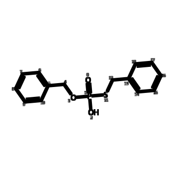 O=P(O)(OCc1ccccc1)SCc1ccccc1